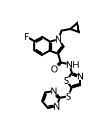 O=C(Nc1ncc(Sc2ncccn2)s1)c1cn(CC2CC2)c2cc(F)ccc12